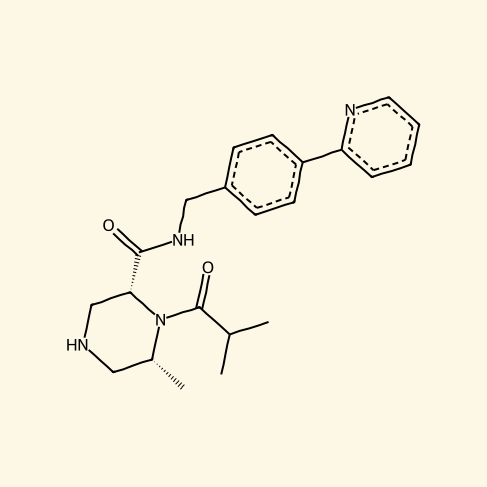 CC(C)C(=O)N1[C@H](C)CNC[C@@H]1C(=O)NCc1ccc(-c2ccccn2)cc1